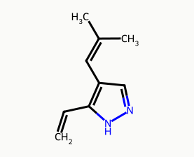 C=Cc1[nH]ncc1C=C(C)C